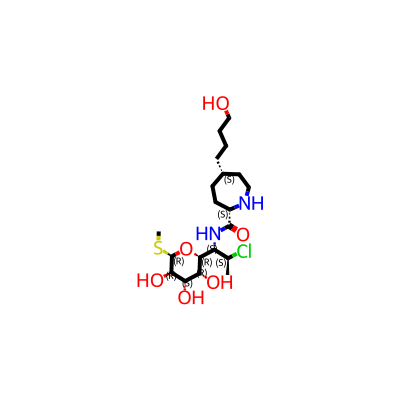 CS[C@H]1O[C@H]([C@H](NC(=O)[C@@H]2CC[C@H](CCCCO)CCN2)[C@H](C)Cl)[C@H](O)[C@H](O)[C@H]1O